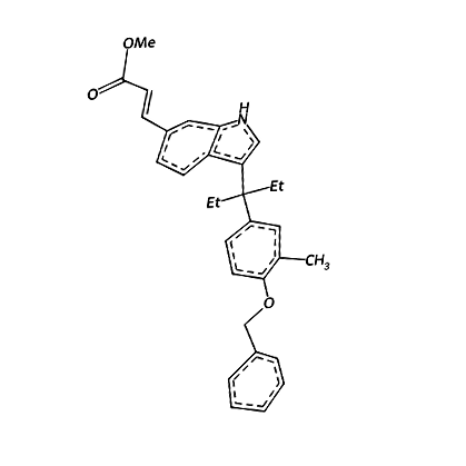 CCC(CC)(c1ccc(OCc2ccccc2)c(C)c1)c1c[nH]c2cc(C=CC(=O)OC)ccc12